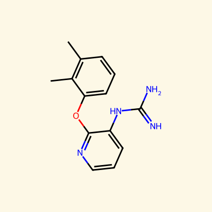 Cc1cccc(Oc2ncccc2NC(=N)N)c1C